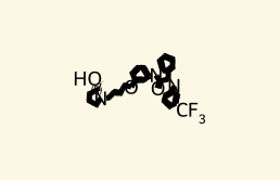 O=C1C(=Nc2cccc(C(F)(F)F)c2)c2ccccc2N1c1cccc(OCC=CCN2CCC[C@@H]2CO)c1